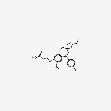 CCCCC1(CC)CSc2cc(OCCC(=O)O)c(SC)cc2N(c2ccc(F)cc2)C1